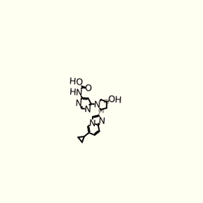 O=C(O)Nc1cc(N2C[C@@H](O)C[C@@H]2c2cn3cc(C4CC4)ccc3n2)ncn1